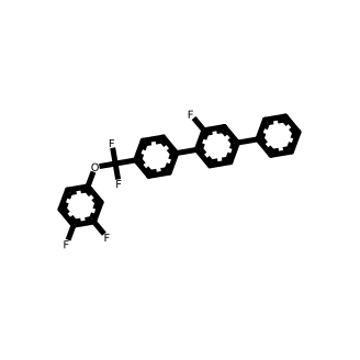 Fc1ccc(OC(F)(F)c2ccc(-c3ccc(-c4ccccc4)cc3F)cc2)cc1F